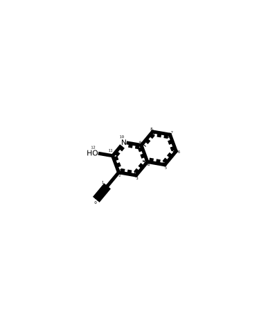 C#Cc1cc2ccccc2nc1O